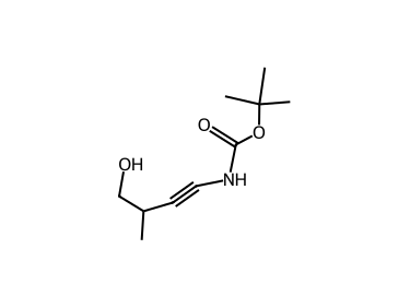 CC(C#CNC(=O)OC(C)(C)C)CO